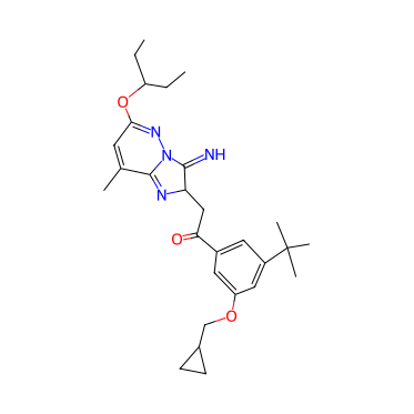 CCC(CC)OC1=NN2C(=N)C(CC(=O)c3cc(OCC4CC4)cc(C(C)(C)C)c3)N=C2C(C)=C1